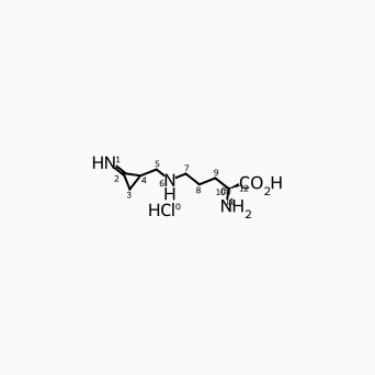 Cl.N=C1CC1CNCCC[C@H](N)C(=O)O